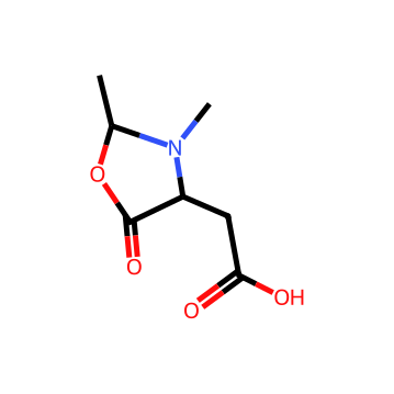 CC1OC(=O)C(CC(=O)O)N1C